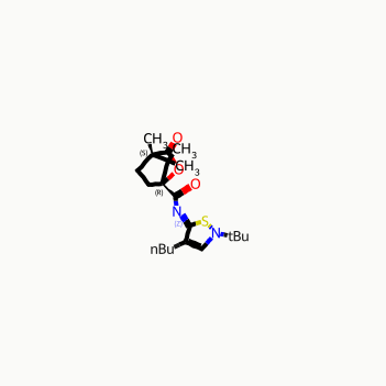 CCCCc1cn(C(C)(C)C)s/c1=N\C(=O)[C@]12CC[C@](C)(C(=O)O1)C2(C)C